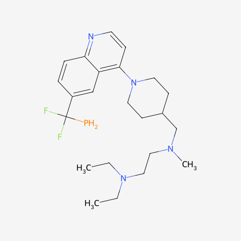 CCN(CC)CCN(C)CC1CCN(c2ccnc3ccc(C(F)(F)P)cc23)CC1